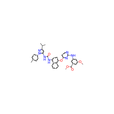 COC(=O)c1cc(Nc2nccc(Oc3ccc(NC(=O)Nc4cc(C(C)C)nn4-c4ccc(C)cc4)c4ccccc34)n2)cc(OC)c1